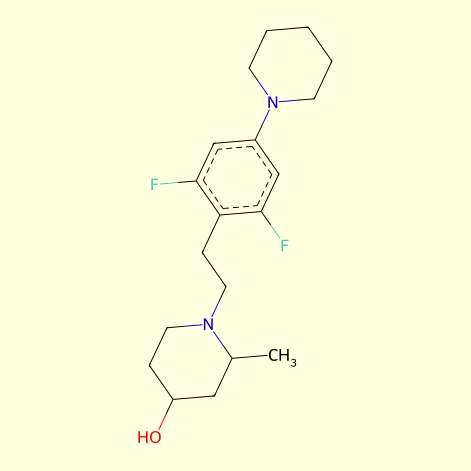 CC1CC(O)CCN1CCc1c(F)cc(N2CCCCC2)cc1F